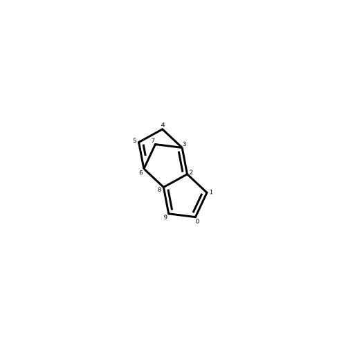 C1=CC2=C3CC=C(C3)C2=C1